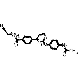 CC(=O)Nc1ccc(Nc2nccc(-c3ccc(C(=O)NCC#N)cc3)n2)cc1